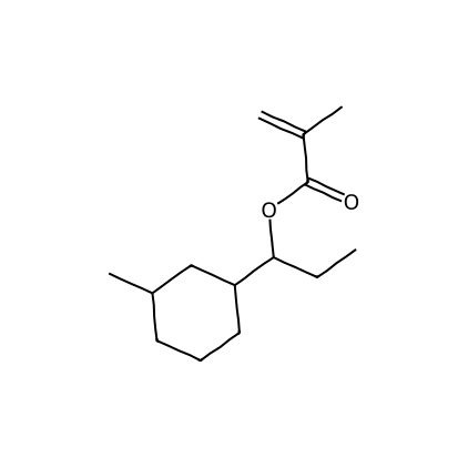 C=C(C)C(=O)OC(CC)C1CCCC(C)C1